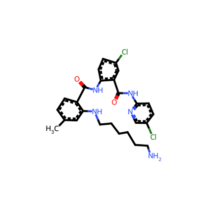 Cc1ccc(C(=O)Nc2ccc(Cl)cc2C(=O)Nc2ccc(Cl)cn2)c(NCCCCCCN)c1